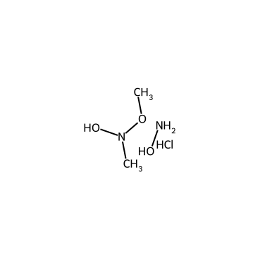 CON(C)O.Cl.NO